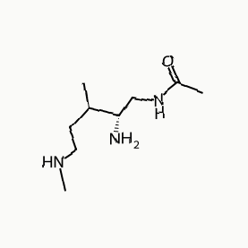 CNCCC(C)[C@@H](N)CNC(C)=O